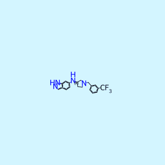 FC(F)(F)c1cccc(CN2CC[C@@H](Nc3ccc4cn[nH]c4c3)C2)c1